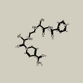 CC(C)C(NCCNC(C(=O)N1C=CC(C(N)=O)=CC1)C(C)C)C(=O)NC(=O)c1ccncc1